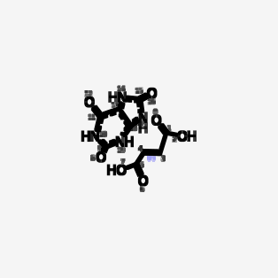 O=C(O)/C=C/C(=O)O.O=c1[nH]c(=O)c2[nH]c(=O)[nH]c2[nH]1